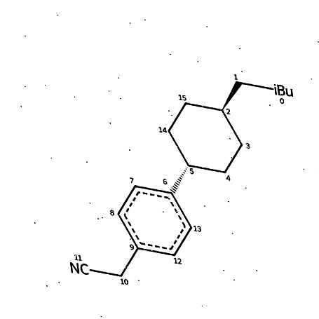 CCC(C)C[C@H]1CC[C@H](c2ccc(CC#N)cc2)CC1